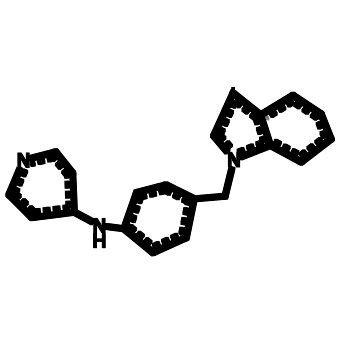 [c]1cn(Cc2ccc(Nc3ccncc3)cc2)c2ccccc12